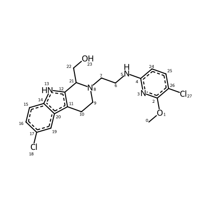 COc1nc(NCCN2CCc3c([nH]c4ccc(Cl)cc34)C2CO)ccc1Cl